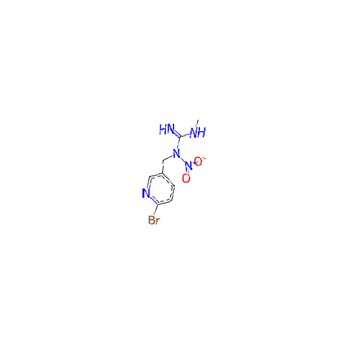 CNC(=N)N(Cc1ccc(Br)nc1)[N+](=O)[O-]